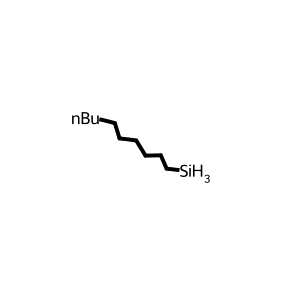 CCCCCCCCCC[SiH3]